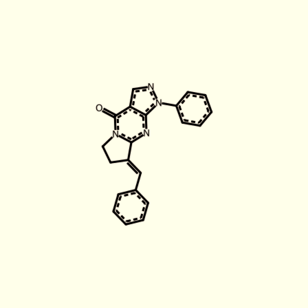 O=c1c2cnn(-c3ccccc3)c2nc2n1CC/C2=C\c1ccccc1